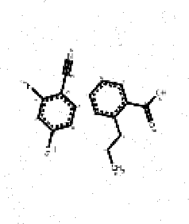 CCCc1ccccc1C(=O)O.N#Cc1ccc(O)cc1F